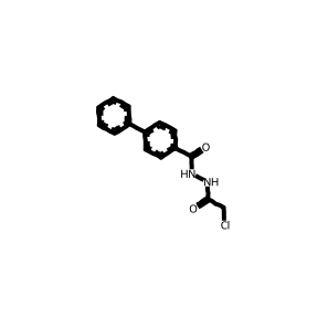 O=C(CCl)NNC(=O)c1ccc(-c2ccccc2)cc1